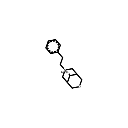 CC(=O)NC1C2COCC1CN(CCc1ccccc1)C2